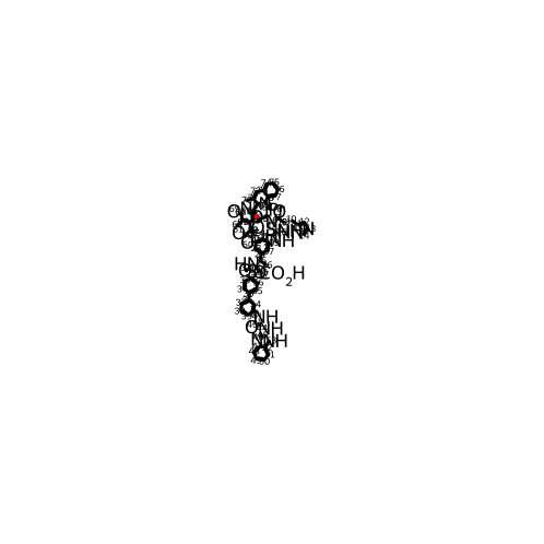 CC[C@@]1(OC(=O)[C@@H](NC(=O)[C@H](Cc2cnc[nH]2)NC(=S)Nc2cccc(C(CC(=O)O)NS(=O)(=O)c3ccc(-c4cccc(NC(=O)Nc5nc6ccccc6[nH]5)c4)cc3)c2)C(C)C)C(=O)OCc2c1cc1n(c2=O)Cc2cc3ccccc3nc2-1